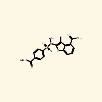 CCCCN(c1sc2cccc(C(N)=O)c2c1C)S(=O)(=O)c1ccc(C(=O)OC)cc1